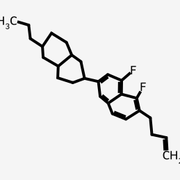 C=CCCc1ccc2cc(C3CCC4CC(CCC)CCC4C3)cc(F)c2c1F